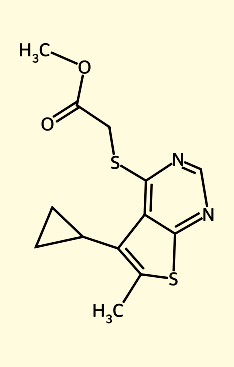 COC(=O)CSc1ncnc2sc(C)c(C3CC3)c12